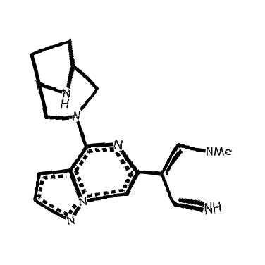 CN/C=C(\C=N)c1cn2nccc2c(N2CC3CCC(C2)N3)n1